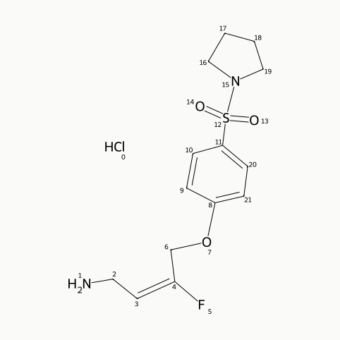 Cl.NC/C=C(/F)COc1ccc(S(=O)(=O)N2CCCC2)cc1